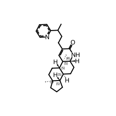 CC(CCC1=C[C@@]2(C)[C@@H](CC[C@H]3[C@@H]4CCC[C@@]4(C)CC[C@@H]32)NC1=O)c1ccccn1